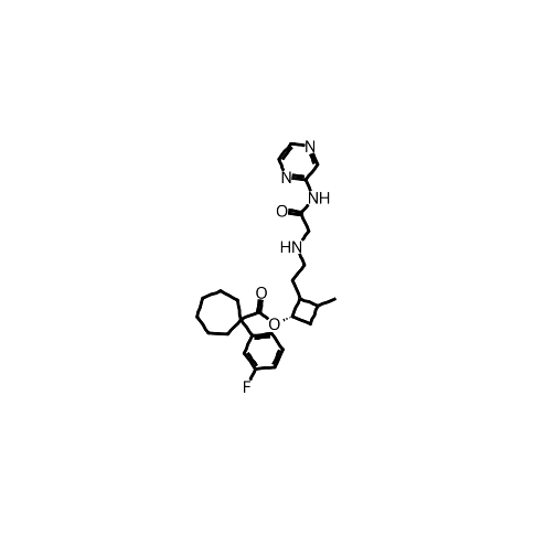 CC1C[C@H](OC(=O)C2(c3cccc(F)c3)CCCCCC2)C1CCNCC(=O)Nc1cnccn1